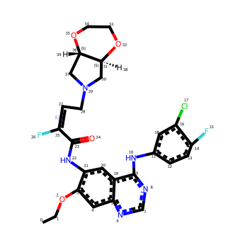 CCOc1cc2ncnc(Nc3ccc(F)c(Cl)c3)c2cc1NC(=O)/C(F)=C\CN1C[C@@H]2OCCO[C@H]2C1